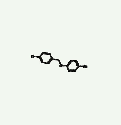 CC(=O)c1ccc(OCc2ccc(Cl)cc2)cc1